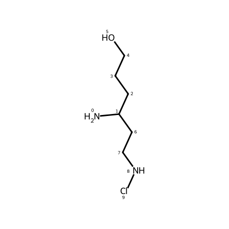 NC(CCCO)CCNCl